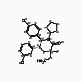 C[C@@]1(CC(=O)O)C[C@H](c2cccc(Cl)c2)[C@@H](c2ccc(Cl)cc2)N(C2CCCC2)C1=O